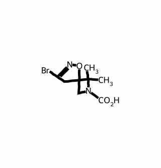 CC1(C)N(C(=O)O)CC12CC(Br)=NO2